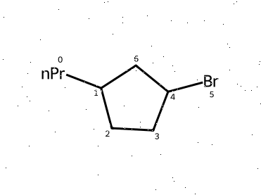 CCCC1CCC(Br)C1